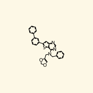 C1=C(CN(Cc2ccccc2)c2ncnc3cc(-c4cccc(-c5ccccc5)c4)sc23)OCO1